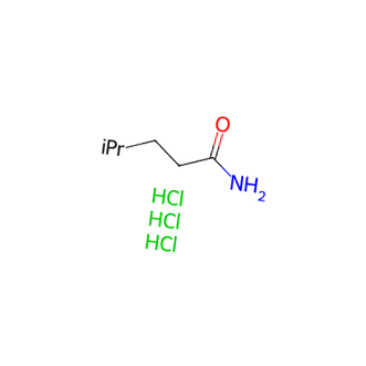 CC(C)CCC(N)=O.Cl.Cl.Cl